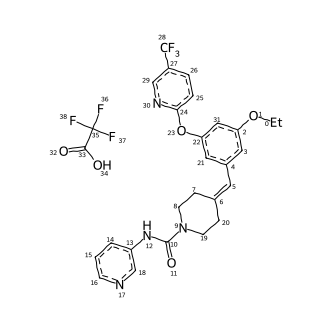 CCOc1cc(C=C2CCN(C(=O)Nc3cccnc3)CC2)cc(Oc2ccc(C(F)(F)F)cn2)c1.O=C(O)C(F)(F)F